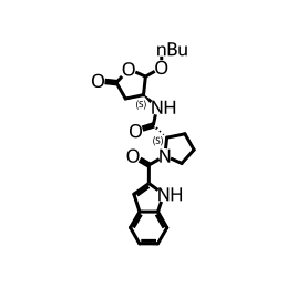 CCCCOC1OC(=O)C[C@@H]1NC(=O)[C@@H]1CCCN1C(=O)c1cc2ccccc2[nH]1